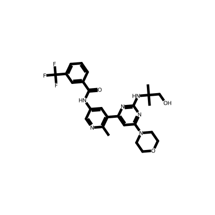 Cc1ncc(NC(=O)c2cccc(C(F)(F)F)c2)cc1-c1cc(N2CCOCC2)nc(NC(C)(C)CO)n1